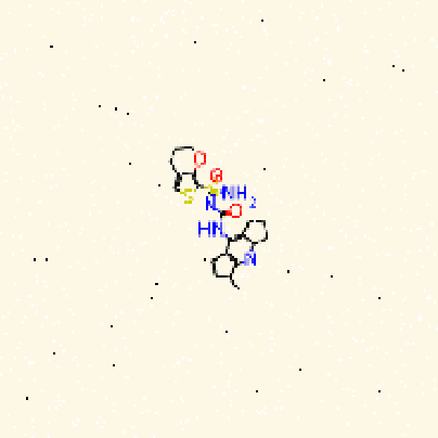 CC1CCc2c1nc1c(c2NC(=O)N=S(N)(=O)c2scc3c2OCCC3)CCC1